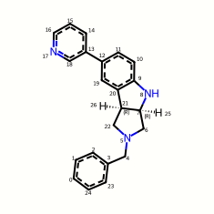 c1ccc(CN2C[C@@H]3Nc4ccc(-c5cccnc5)cc4[C@@H]3C2)cc1